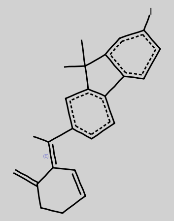 C=C1CCC=C/C1=C(/C)c1ccc2c(c1)C(C)(C)c1cc(I)ccc1-2